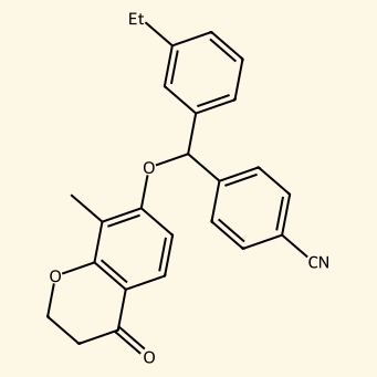 CCc1cccc(C(Oc2ccc3c(c2C)OCCC3=O)c2ccc(C#N)cc2)c1